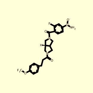 N[S+]([O-])c1ccc(C(=O)N2CC3CN(C(=O)CCc4ccc(OC(F)(F)F)cc4)C[C@@H]3C2)c(F)c1